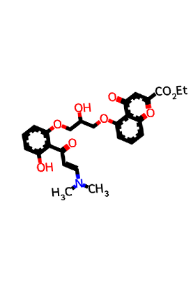 CCOC(=O)c1cc(=O)c2c(OCC(O)COc3cccc(O)c3C(=O)C=CN(C)C)cccc2o1